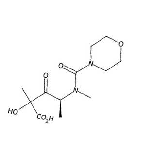 C[C@@H](C(=O)C(C)(O)C(=O)O)N(C)C(=O)N1CCOCC1